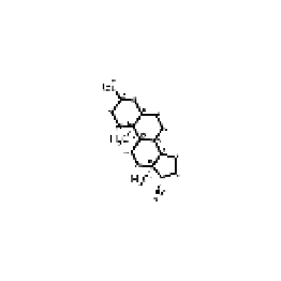 CC(=O)[C@H]1CCC2C3CCC4CC(C(C)(C)C)CC[C@]4(C)C3CC[C@@]21C